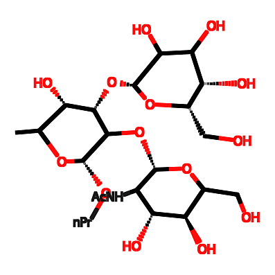 CCCO[C@@H]1OC(C)[C@H](O)[C@H](O[C@H]2O[C@@H](CO)[C@@H](O)C(O)C2O)C1O[C@@H]1OC(CO)[C@@H](O)[C@H](O)C1NC(C)=O